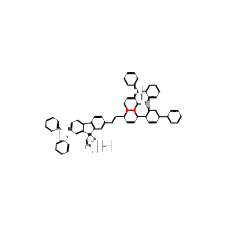 CCC1(CC)c2cc(/C=C/c3ccc(-c4ccc(-c5ccccc5)cc4N4c5ccccc5N(c5ccccc5)c5ccccc54)cc3)ccc2-c2ccc(N(c3ccccc3)c3ccccc3)cc21